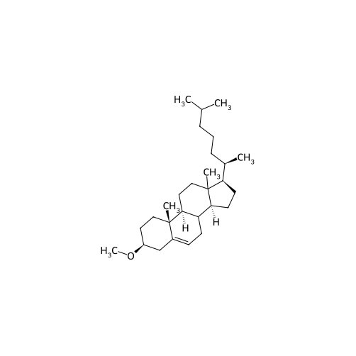 CO[C@H]1CC[C@@]2(C)C(=CCC3[C@@H]4CC[C@H]([C@H](C)CCCC(C)C)C4(C)CC[C@@H]32)C1